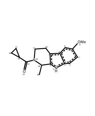 COc1ccc2[nH]c3c(c2c1)CCN(C(=O)C1CC1)C3C